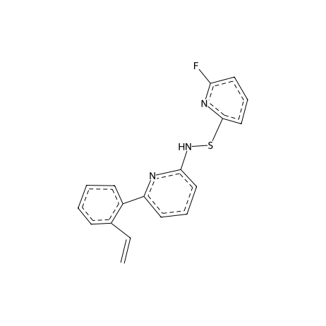 C=Cc1ccccc1-c1cccc(NSc2cccc(F)n2)n1